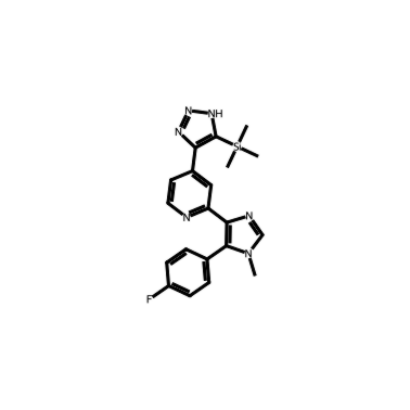 Cn1cnc(-c2cc(-c3nn[nH]c3[Si](C)(C)C)ccn2)c1-c1ccc(F)cc1